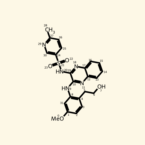 COc1ccc(CCO)c(Nc2nc3ccccc3nc2NS(=O)(=O)c2ccc(C)nc2)c1